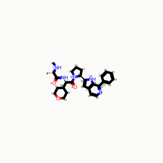 CN[C@@H](C)C(=O)N[C@H](C(=O)N1CCC[C@H]1c1cc2ccnc(-c3ccccc3)c2[nH]1)C1CCOCC1